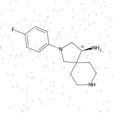 N[C@@H]1CN(c2ccc(F)cc2)CC12CCNCC2